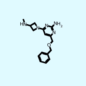 CNC1CN(c2cc(COCc3ccccc3)nc(N)n2)C1